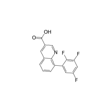 O=C(O)c1cnc2c(-c3cc(F)cc(F)c3F)cccc2c1